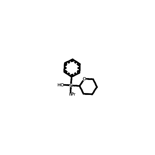 CCC[Si](O)(c1ccccc1)C1CCCCO1